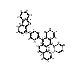 C1=CCC(c2c3c(c(-c4ccc(-c5cccc6c5oc5ccccc56)cc4)c4ccc5ccccc5c24)CCC=C3)C=C1